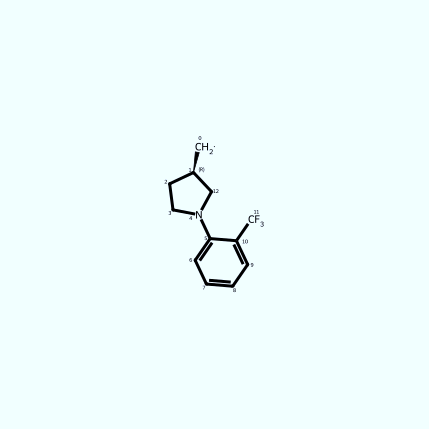 [CH2][C@@H]1CCN(c2ccccc2C(F)(F)F)C1